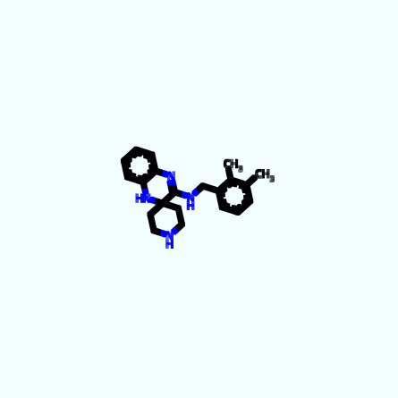 Cc1cccc(CNC2=Nc3ccccc3NC23CCNCC3)c1C